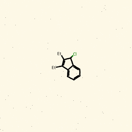 CCC1=C(CC)c2ccccc2[C]1Cl